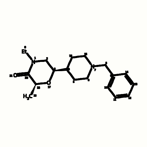 CCN1C[C@@H](C2CCN(Cc3ccccc3)CC2)O[C@H](C)C1=O